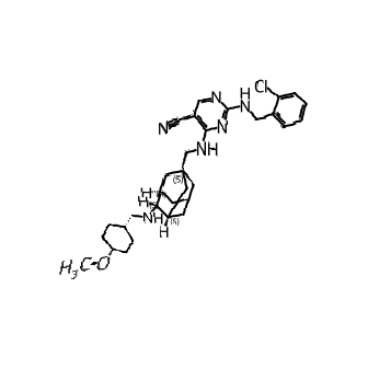 CO[C@H]1CC[C@H](CN[C@@H]2[C@@H]3CC4C[C@H]2C[C@@](CNc2nc(NCc5ccccc5Cl)ncc2C#N)(C4)C3)CC1